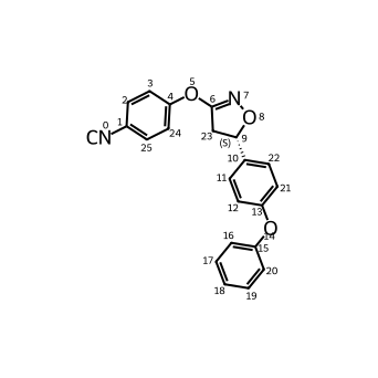 [C-]#[N+]c1ccc(OC2=NO[C@H](c3ccc(Oc4ccccc4)cc3)C2)cc1